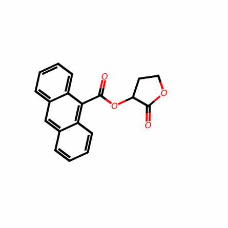 O=C(OC1CCOC1=O)c1c2ccccc2cc2ccccc12